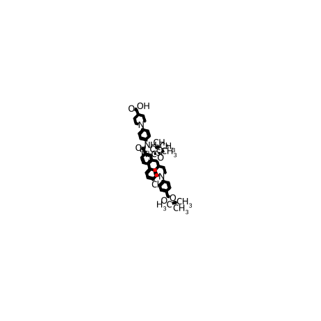 CC(C)(C)OC(=O)c1ccc(N2CCC(C(O[Si](C)(C)C(C)(C)C)c3cc(C(=O)Nc4ccc(N5CCC(C(=O)O)CC5)cc4)ccc3-c3ccc(Cl)cc3)CC2)cc1